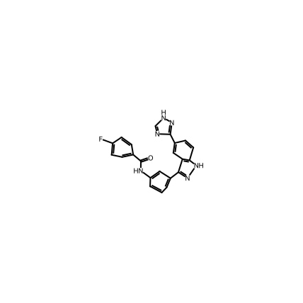 O=C(Nc1cccc(-c2n[nH]c3ccc(-c4nc[nH]n4)cc23)c1)c1ccc(F)cc1